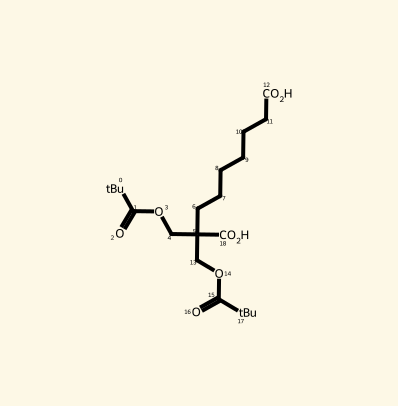 CC(C)(C)C(=O)OCC(CCCCCCC(=O)O)(COC(=O)C(C)(C)C)C(=O)O